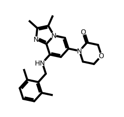 Cc1cccc(C)c1CNc1cc(N2CCOCC2=O)cn2c(C)c(C)nc12